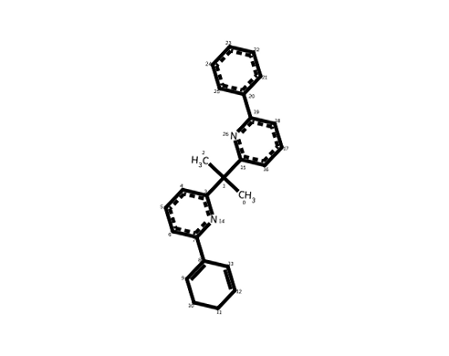 CC(C)(c1cccc(C2=CCCC=C2)n1)c1cccc(-c2ccccc2)n1